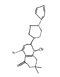 CC1(C)CC(=O)C2=C(C1)N(C#N)C(N1CCN(c3ccccc3)CC1)C=C2Br